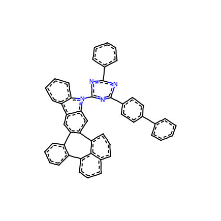 c1ccc(-c2ccc(-c3nc(-c4ccccc4)nc(-n4c5ccccc5c5cc6c(cc54)-c4cccc5cccc(c45)-c4ccccc4-6)n3)cc2)cc1